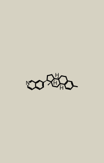 Cc1ccc2c(c1)CC[C@@H]1[C@@H]2CC[C@]2(C)[C@@H](c3ccc4ccncc4c3)CC[C@@H]12